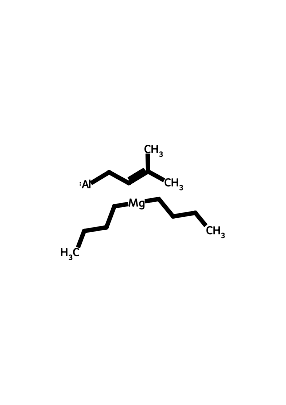 CC(C)=C[CH2][Al].CCC[CH2][Mg][CH2]CCC